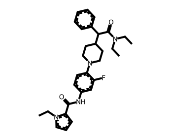 CCN(CC)C(=O)C(c1ccccc1)C1CCN(c2ccc(NC(=O)c3cccn3CC)cc2F)CC1